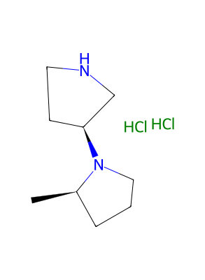 C[C@@H]1CCCN1[C@H]1CCNC1.Cl.Cl